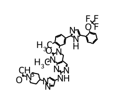 CC(=O)N1CCC(n2cc(Nc3ncc4c(n3)N(C)C(=O)N(c3cc(-c5ncc(-c6ccccc6OC(F)(F)F)[nH]5)ccc3C)C4)cn2)CC1